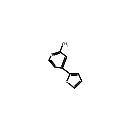 Cc1cc(-c2ccco2)ccn1